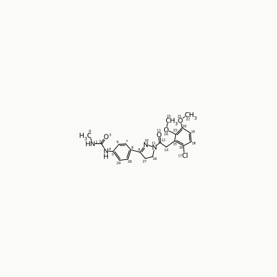 CNC(=O)Nc1ccc(C2=NN(C(=O)Cc3c(Cl)ccc(OC)c3OC)CC2)cc1